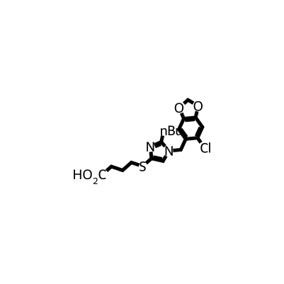 CCCCc1nc(SCCCC(=O)O)cn1Cc1cc2c(cc1Cl)OCO2